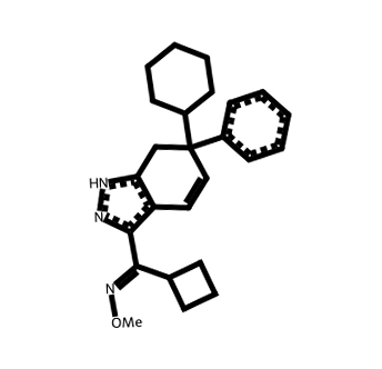 CO/N=C(/c1n[nH]c2c1C=CC(c1ccccc1)(C1CCCCC1)C2)C1CCC1